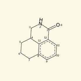 O=C1NCC2CCCc3cccc1c32